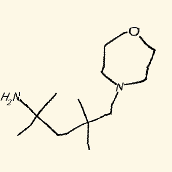 CC(C)(N)CC(C)(C)CN1CCOCC1